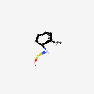 O=S=Nc1ccccc1[N+](=O)[O-]